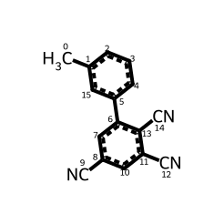 Cc1cccc(-c2cc(C#N)cc(C#N)c2C#N)c1